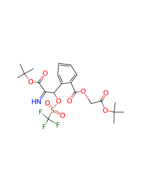 CC(C)(C)OC(=O)COC(=O)c1ccccc1C(OS(=O)(=O)C(F)(F)F)C(=N)C(=O)OC(C)(C)C